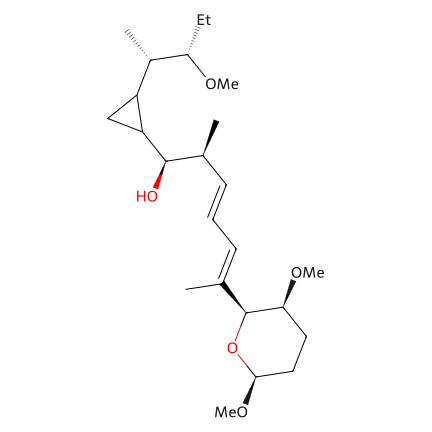 CC[C@H](OC)[C@@H](C)C1CC1[C@H](O)[C@@H](C)/C=C/C=C(\C)[C@@H]1O[C@H](OC)CC[C@@H]1OC